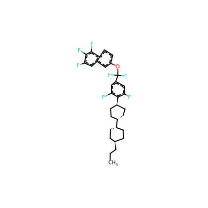 CCC[C@H]1CC[C@H]([C@H]2CC[C@H](c3c(F)cc(C(F)(F)Oc4ccc5c(F)c(F)c(F)cc5c4)cc3F)CC2)CC1